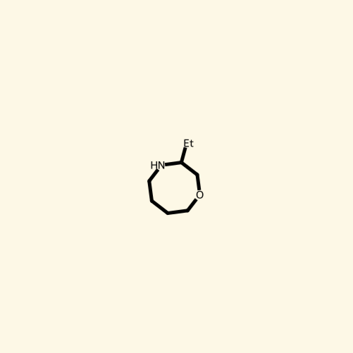 CCC1COCCCCN1